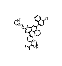 C=C(F)C(=O)N1CCN(c2nc(OC[C@@H]3CCCN3C)nc3cc(-c4ccc(Cl)c5ccccc45)c4c(c23)OCCC4)C[C@@H]1CC#N